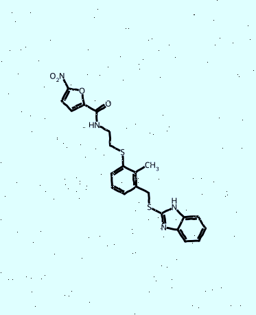 Cc1c(CSc2nc3ccccc3[nH]2)cccc1SCCNC(=O)c1ccc([N+](=O)[O-])o1